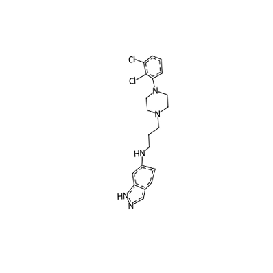 Clc1cccc(N2CCN(CCCNc3ccc4cn[nH]c4c3)CC2)c1Cl